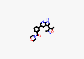 CC1=NOC(C)C1c1c[nH]c2ncc(-c3cccc(C(=O)N4CCOCC4)c3)cc12